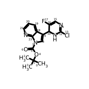 CC(C)(C)OC(=O)n1cc(C2NC(Cl)=NC=C2F)c2cccnc21